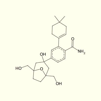 CC1(C)CC=C(c2cc(C3(O)CC4(CO)CCC(CO)(C3)O4)ccc2C(N)=O)CC1